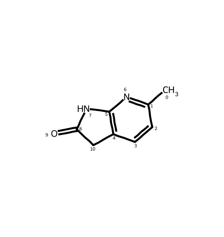 Cc1ccc2c(n1)NC(=O)C2